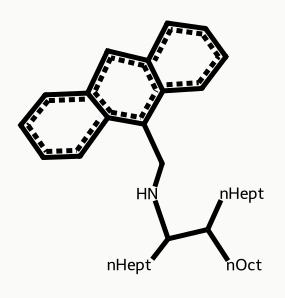 CCCCCCCCC(CCCCCCC)C(CCCCCCC)NCc1c2ccccc2cc2ccccc12